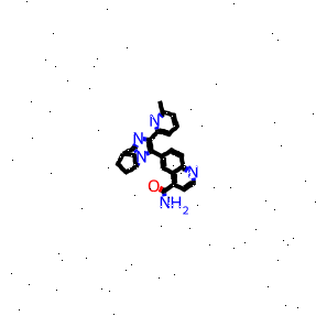 Cc1cccc(-c2nc3n(c2-c2ccc4nccc(C(N)=O)c4c2)C2CCC3C2)n1